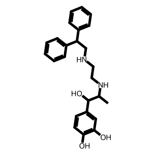 CC(NCCNCC(c1ccccc1)c1ccccc1)C(O)c1ccc(O)c(O)c1